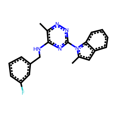 Cc1nnc(-n2c(C)cc3ccccc32)nc1NCc1cccc(F)c1